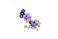 CC(C)n1nc(S(=O)(=O)c2nnc(Nc3c4c(cc5c3CCC5)CCC4)[nH]2)cc1C(C)[N+](C)(C)[O-]